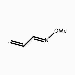 [CH]=CC=NOC